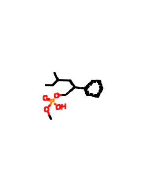 CCC(C)CC(COP(=O)(O)OC)c1ccccc1